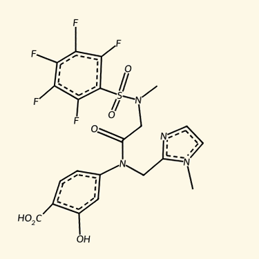 CN(CC(=O)N(Cc1nccn1C)c1ccc(C(=O)O)c(O)c1)S(=O)(=O)c1c(F)c(F)c(F)c(F)c1F